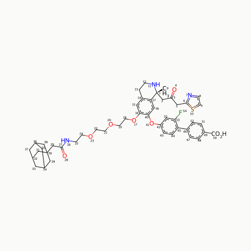 C[C@]1(CC(=O)Cc2nccs2)NCCc2cc(OCCOCCOCCNC(=O)CC34CC5CC(CC(C5)C3)C4)c(Oc3ccc(-c4ccc(C(=O)O)cc4)c(F)c3)cc21